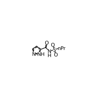 CCCS(=O)(=O)NC(=O)c1ccn[nH]1